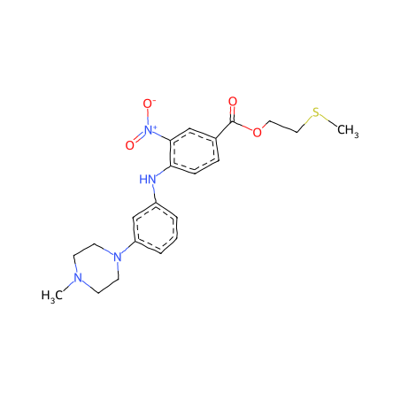 CSCCOC(=O)c1ccc(Nc2cccc(N3CCN(C)CC3)c2)c([N+](=O)[O-])c1